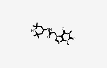 Cn1c(=O)c2c(ncn2CC(=O)NC2CC(C)(C)NC(C)(C)C2)n(C)c1=O